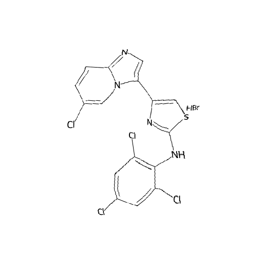 Br.Clc1cc(Cl)c(Nc2nc(-c3cnc4ccc(Cl)cn34)cs2)c(Cl)c1